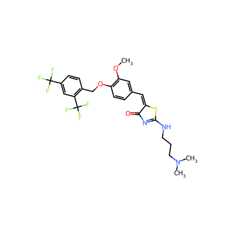 COc1cc(C=C2SC(NCCCN(C)C)=NC2=O)ccc1OCc1ccc(C(F)(F)F)cc1C(F)(F)F